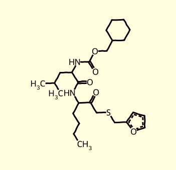 CCCCC(NC(=O)C(CC(C)C)NC(=O)OCC1CCCCC1)C(=O)CSCc1ccco1